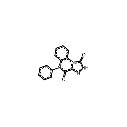 O=c1c2n[nH]c(=O)n2c2ccccc2n1-c1ccccc1